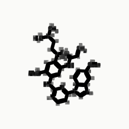 C=CC(=O)Nc1cc(Nc2nccc(-n3cnc4cc(OC)ccc43)n2)c(OC)cc1N(C)CCN(C)C